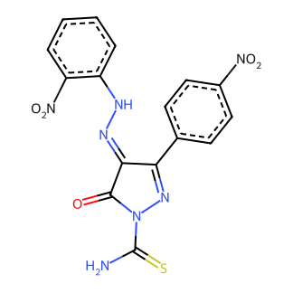 NC(=S)N1N=C(c2ccc([N+](=O)[O-])cc2)/C(=N\Nc2ccccc2[N+](=O)[O-])C1=O